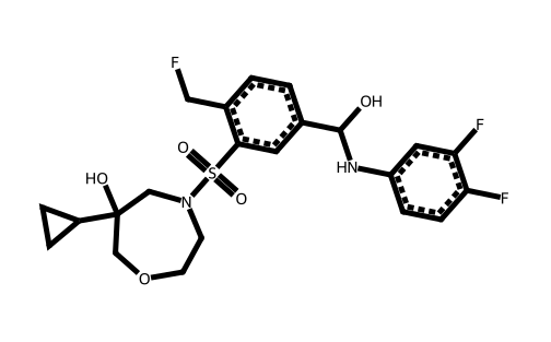 O=S(=O)(c1cc(C(O)Nc2ccc(F)c(F)c2)ccc1CF)N1CCOCC(O)(C2CC2)C1